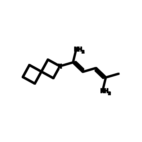 C/C(N)=C/C=C(\N)N1CC2(CCC2)C1